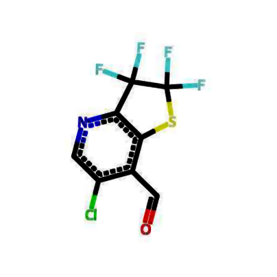 O=Cc1c(Cl)cnc2c1SC(F)(F)C2(F)F